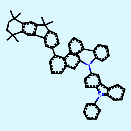 CC1(C)CCC(C)(C)c2cc3c(cc21)-c1cc(-c2cccc4cc(N(c5ccc6c(c5)c5ccccc5n6-c5ccccc5)c5ccccc5-c5ccccc5)ccc24)ccc1C3(C)C